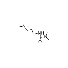 CNCCCNC(=O)N(C)C